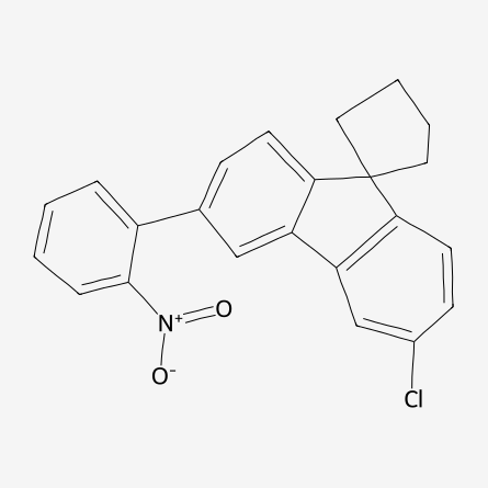 O=[N+]([O-])c1ccccc1-c1ccc2c(c1)-c1cc(Cl)ccc1C21CCCC1